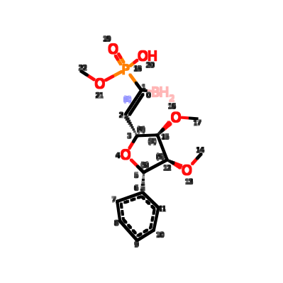 B/C(=C\[C@H]1O[C@@H](c2ccccc2)[C@H](OC)[C@@H]1OC)P(=O)(O)OC